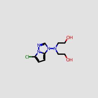 OCCN(CCO)n1cnn2c(Cl)ccc12